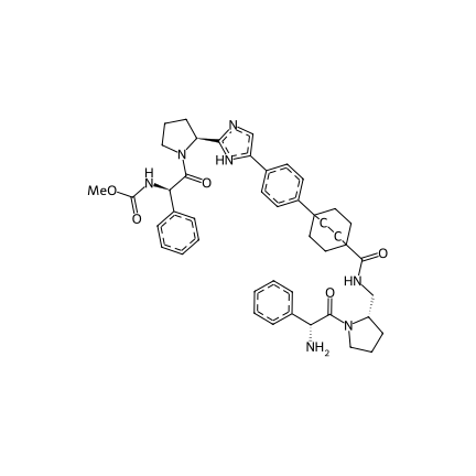 COC(=O)N[C@@H](C(=O)N1CCC[C@H]1c1ncc(-c2ccc(C34CCC(C(=O)NC[C@@H]5CCCN5C(=O)[C@H](N)c5ccccc5)(CC3)CC4)cc2)[nH]1)c1ccccc1